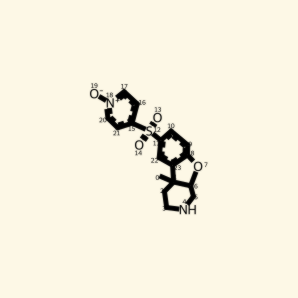 CC12CCNCC1Oc1ccc(S(=O)(=O)c3cc[n+]([O-])cc3)cc12